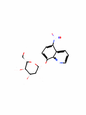 O=[N+]([O-])c1ccc(O[C@H]2O[C@H](CO)[C@H](O)[C@H](O)[C@H]2O)c2ncccc12